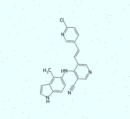 Cc1c(Nc2c(C#N)cncc2/C=C/c2ccc(Cl)nc2)ccc2[nH]ccc12